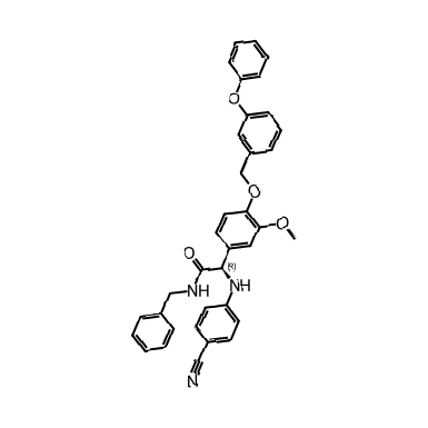 COc1cc([C@@H](Nc2ccc(C#N)cc2)C(=O)NCc2ccccc2)ccc1OCc1cccc(Oc2ccccc2)c1